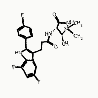 C[Si]1(C)NC(=O)[C@@H](NC(=O)CCc2c(-c3ccc(F)cc3)[nH]c3c(F)cc(F)cc23)[C@@H]1O